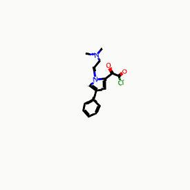 CN(C)CCn1cc(-c2ccccc2)cc1C(=O)C(=O)Cl